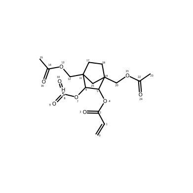 C=CC(=O)OC1C(O[SH](=O)=O)C2(COC(C)=O)CCC1(COC(C)=O)C2